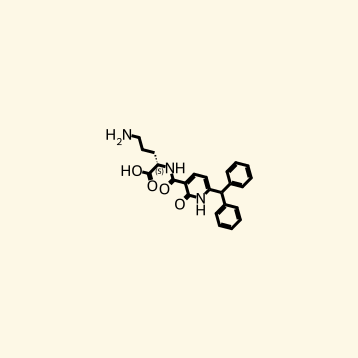 NCCC[C@H](NC(=O)c1ccc(C(c2ccccc2)c2ccccc2)[nH]c1=O)C(=O)O